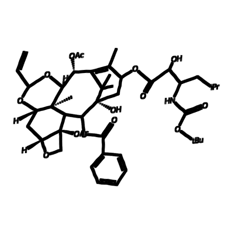 C=CC1O[C@H]2C[C@H]3OC[C@@]3(OC(C)=O)C3C(OC(=O)c4ccccc4)[C@]4(O)CC(OC(=O)C(O)C(CC(C)C)NC(=O)OC(C)(C)C)C(C)=C([C@@H](OC(C)=O)[C@H](O1)[C@@]32C)C4(C)C